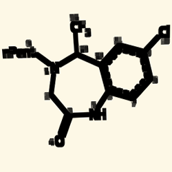 CCCCCN1CC(=O)Nc2ccc(Cl)cc2C1C(F)(F)F